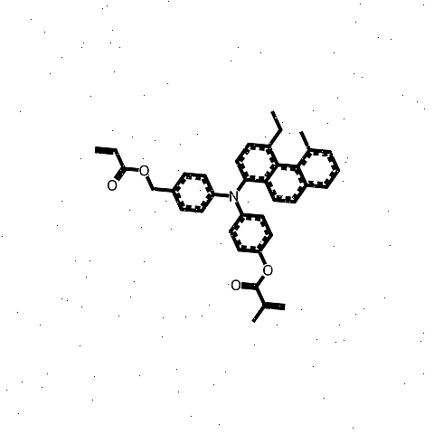 C=CC(=O)OCc1ccc(N(c2ccc(OC(=O)C(=C)C)cc2)c2ccc(CC)c3c2ccc2cccc(C)c23)cc1